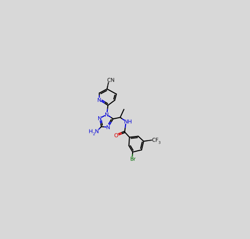 CC(NC(=O)c1cc(Br)cc(C(F)(F)F)c1)c1nc(N)nn1-c1ccc(C#N)cn1